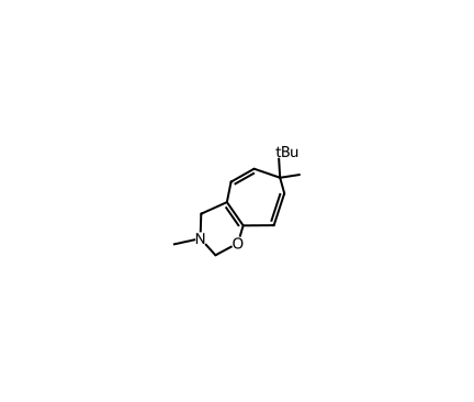 CN1COC2=C(C=CC(C)(C(C)(C)C)C=C2)C1